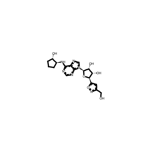 OCc1cc([C@H]2O[C@@H](n3cnc4c(N[C@H]5CCC[C@@H]5O)ncnc43)[C@H](O)[C@@H]2O)on1